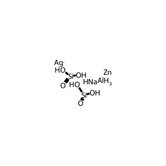 O=[Si](O)O.O=[Si](O)O.[Ag].[AlH3].[NaH].[Zn]